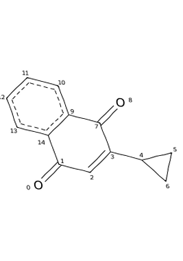 O=C1C=C(C2CC2)C(=O)c2ccccc21